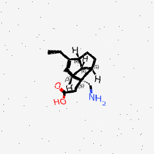 CCC1=C[C@@H]2[C@@H]3[C@H]1CC[C@@H]3[C@@]2(CN)CC(=O)O